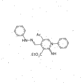 CCOC(=O)c1c(C=NNc2ccccc2)c(C(C)=O)cn(-c2ccccc2)c1=N